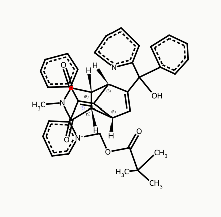 CN1C(=O)[C@@H]2[C@H](C1=O)[C@@H]1C(C(O)(c3ccccc3)c3ccccn3)=C[C@H]2/C1=C(/c1ccccc1)c1cccc[n+]1COC(=O)C(C)(C)C